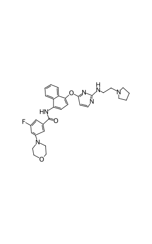 O=C(Nc1ccc(Oc2ccnc(NCCN3CCCC3)n2)c2ccccc12)c1cc(F)cc(N2CCOCC2)c1